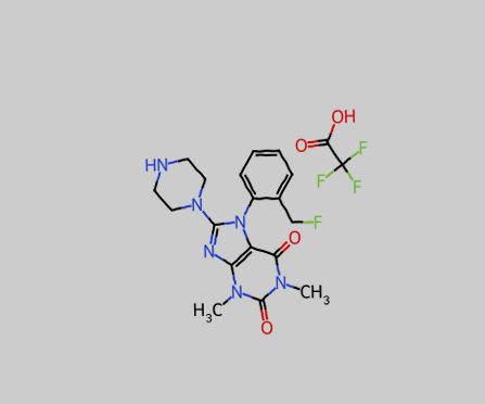 Cn1c(=O)c2c(nc(N3CCNCC3)n2-c2ccccc2CF)n(C)c1=O.O=C(O)C(F)(F)F